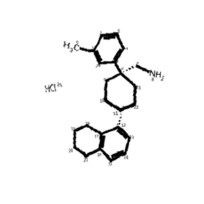 Cc1cccc([C@]2(CN)CC[C@@H](c3cccc4c3CCCC4)CC2)c1.Cl